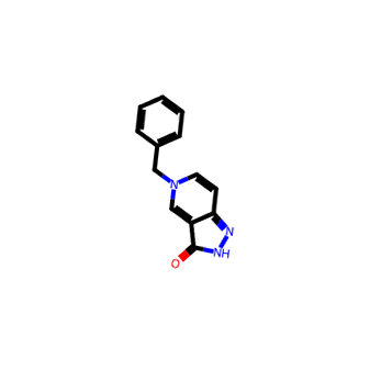 O=c1[nH]nc2ccn(Cc3ccccc3)cc1-2